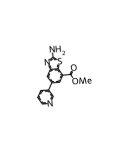 COC(=O)c1cc(-c2cccnc2)cc2nc(N)sc12